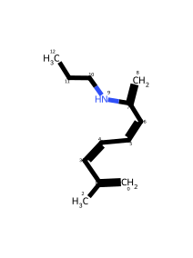 C=C(C)/C=C\C=C/C(=C)NCCC